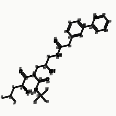 CC(C)C[C@H](N)C(=O)N(CC(O)CNC(=O)Cc1cccc(-c2ccccn2)c1)C(=O)OC(C)(C)C